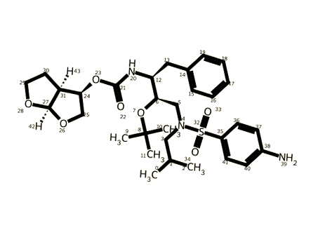 CC(C)CN(C[C@@H](OC(C)(C)C)[C@H](Cc1ccccc1)NC(=O)O[C@H]1CO[C@H]2OCC[C@H]21)S(=O)(=O)c1ccc(N)cc1